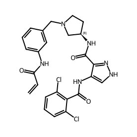 C=CC(=O)Nc1cccc(CN2CC[C@@H](NC(=O)c3n[nH]cc3NC(=O)c3c(Cl)cccc3Cl)C2)c1